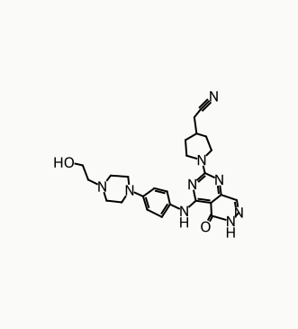 N#CCC1CCN(c2nc(Nc3ccc(N4CCN(CCO)CC4)cc3)c3c(=O)[nH]ncc3n2)CC1